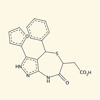 O=C(O)CC1SC(c2ccccc2)c2c(n[nH]c2-c2ccco2)NC1=O